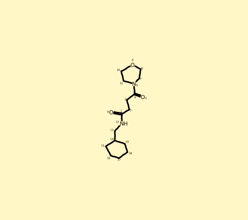 O=C(CCC(=O)N1CCOCC1)NCC1CCCCC1